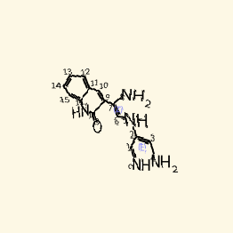 N=C/C(=C\N)N/C=C(\N)c1cc2ccccc2[nH]c1=O